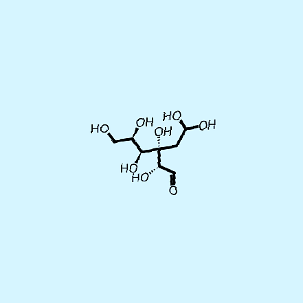 O=C[C@H](O)[C@](O)(CC(O)O)[C@@H](O)[C@H](O)CO